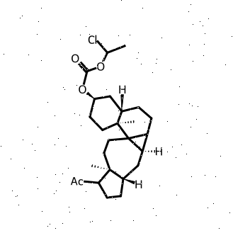 CC(=O)C1CC[C@H]2C[C@@H]3C4CC[C@H]5C[C@H](OC(=O)OC(C)Cl)CC[C@]5(C)C43CC[C@]12C